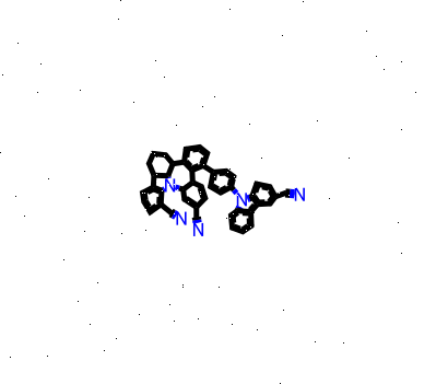 N#CC1=CC2C(C=C1)c1c(-c3ccc(-n4c5ccccc5c5cc(C#N)ccc54)cc3)cccc1C1CCCC3c4cccc(C#N)c4N2C13